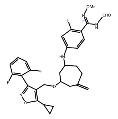 C=C1CCC(Nc2ccc(/C(=N/OC)NC=O)c(F)c2)CC(OCc2c(-c3c(F)cccc3F)noc2C2CC2)C1